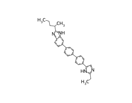 CCCC(C)c1nc2ccc(-c3ccc(-c4ccc(-c5cnc(CC)[nH]5)cc4)cc3)cc2[nH]1